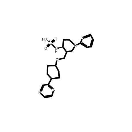 CS(=O)(=O)N[C@H]1CCN(c2ccccn2)CC1COC1CCC(c2cnccn2)CC1